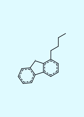 CCCCc1cccc2c1[CH]c1ccccc1-2